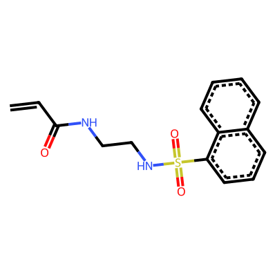 C=CC(=O)NCCNS(=O)(=O)c1cccc2ccccc12